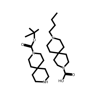 CC(C)(C)OC(=O)N1CCC2(CCNCC2)CC1.CCCCN1CCC2(CC1)CCN(C(=O)O)CC2